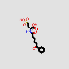 O=C(CCCCC(=O)c1ccccc1)N[C@@H](CCS(=O)(=O)O)C(=O)O